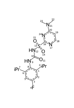 CC(C)c1cc(F)cc(C(C)C)c1NC(=O)NS(=O)(=O)c1nccc(N(C)C)n1